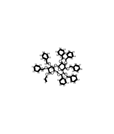 C=CCO[C@H]1O[C@H](COCc2ccccc2)[C@@H](O[C@@H]2O[C@H](COCc3ccccc3)[C@@H](OCc3ccccc3)[C@H](OCc3ccccc3)[C@H]2OCc2ccccc2)[C@H](OCc2ccccc2)[C@H]1OCc1ccccc1